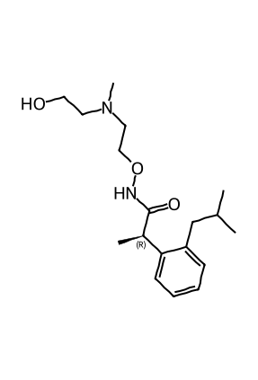 CC(C)Cc1ccccc1[C@@H](C)C(=O)NOCCN(C)CCO